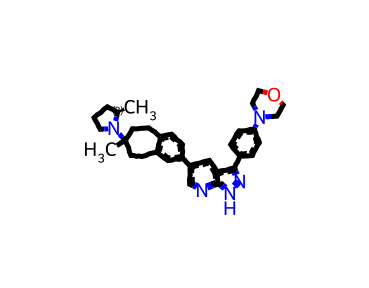 C[C@@H]1CCCN1C1(C)CCc2ccc(-c3cnc4[nH]nc(-c5ccc(N6CCOCC6)cc5)c4c3)cc2CC1